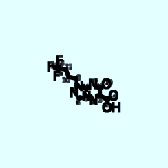 O=C(O)c1nn2cnn(CCCC(F)(F)F)c2nc1=O